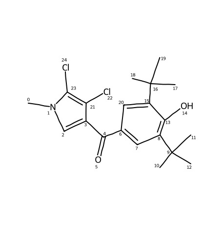 Cn1cc(C(=O)c2cc(C(C)(C)C)c(O)c(C(C)(C)C)c2)c(Cl)c1Cl